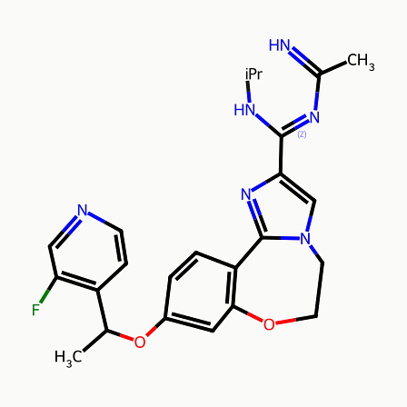 CC(=N)/N=C(\NC(C)C)c1cn2c(n1)-c1ccc(OC(C)c3ccncc3F)cc1OCC2